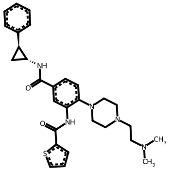 CN(C)CCN1CCN(c2ccc(C(=O)N[C@@H]3C[C@H]3c3ccccc3)cc2NC(=O)c2cccs2)CC1